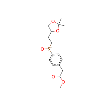 COC(=O)Cc1ccc([S+]([O-])CCC2COC(C)(C)O2)cc1